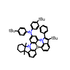 CC(C)(C)c1ccc(N(c2ccc(C(C)(C)C)cc2)c2cc3c4c(c2)-n2c(-c5ccccc5)c(C(C)(C)C)c5cccc(c52)B4c2cccc4c2N3C2(C)CCCCC42C)cc1